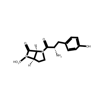 N[C@@H](Cc1ccc(O)cc1)C(=O)N1CC[C@@H]2[C@H]1C(=O)N2S(=O)(=O)O